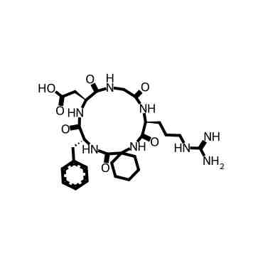 N=C(N)NCCC[C@@H]1NC(=O)CNC(=O)[C@H](CC(=O)O)NC(=O)[C@@H](Cc2ccccc2)NC(=O)C2(CCCCC2)NC1=O